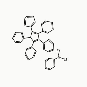 CCN(CC)c1ccccc1.c1ccc(C2=C(c3ccccc3)C(c3ccccc3)C(c3ccccc3)=C2c2ccccc2)cc1